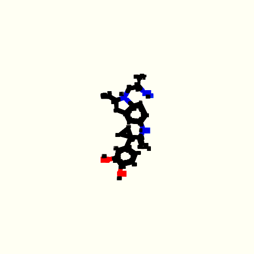 C=C(Nc1ccc2c(c1)CC(C(C)(C)C)N2C[C@@H](N)CCC)C1(c2ccc(O)c(O)c2)CC1